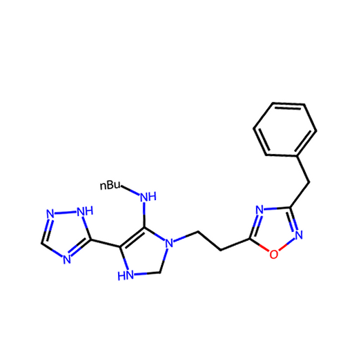 CCCCNC1=C(c2ncn[nH]2)NCN1CCc1nc(Cc2ccccc2)no1